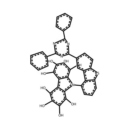 Oc1c(O)c(O)c2c(c1O)c1c(O)c(O)c(O)c(O)c1n2-c1cccc2sc3ccc(-c4nc(-c5ccccc5)nc(-c5ccccc5)n4)cc3c12